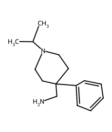 CC(C)N1CCC(CN)(c2ccccc2)CC1